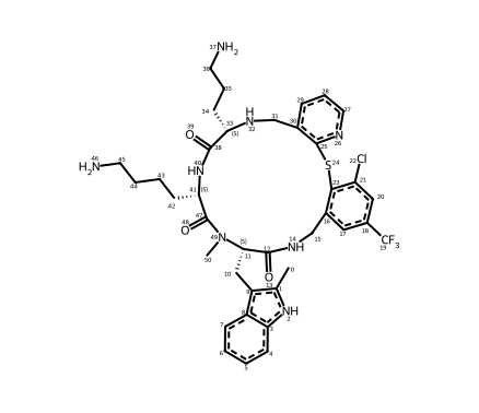 Cc1[nH]c2ccccc2c1C[C@H]1C(=O)NCc2cc(C(F)(F)F)cc(Cl)c2Sc2ncccc2CN[C@@H](CCCN)C(=O)N[C@@H](CCCCN)C(=O)N1C